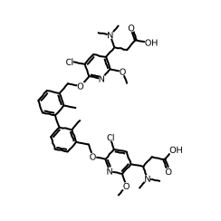 COc1nc(OCc2cccc(-c3cccc(COc4nc(OC)c(C(CC(=O)O)N(C)C)cc4Cl)c3C)c2C)c(Cl)cc1C(CC(=O)O)N(C)C